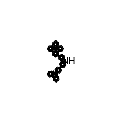 c1ccc(C2(c3ccccc3)c3ccccc3-c3ccc(-c4ccc5[nH]c6ccc(-c7ccc(-n8c9ccccc9c9ccccc98)cc7)cc6c5c4)cc32)cc1